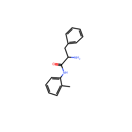 Cc1ccccc1NC(=O)C(N)Cc1ccccc1